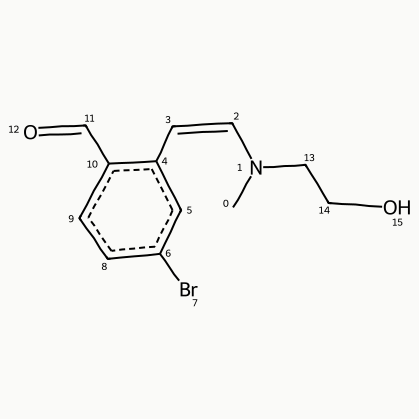 CN(/C=C\c1cc(Br)ccc1C=O)CCO